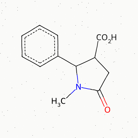 CN1C(=O)CC(C(=O)O)C1c1ccccc1